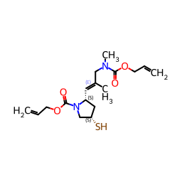 C=CCOC(=O)N(C)C/C(C)=C/[C@@H]1C[C@H](S)CN1C(=O)OCC=C